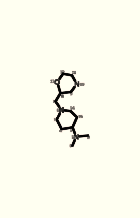 CN(C)C1CCN(CC2C[N]CCO2)CC1